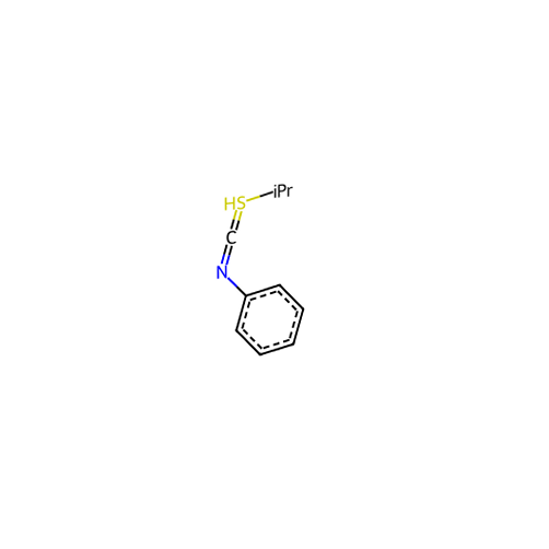 CC(C)[SH]=C=Nc1ccccc1